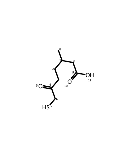 CC(CCC(=O)CS)CC(=O)O